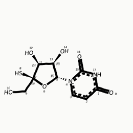 O=c1ccn([C@@H]2O[C@](S)(CO)[C@@H](O)[C@H]2O)c(=O)[nH]1